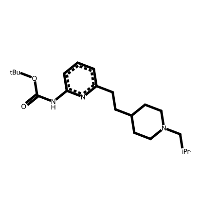 C[C](C)CN1CCC(CCc2cccc(NC(=O)OC(C)(C)C)n2)CC1